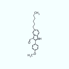 CCCCCCc1ccc2[nH]c(-c3ccc(OC)cc3)c(C=O)c2c1